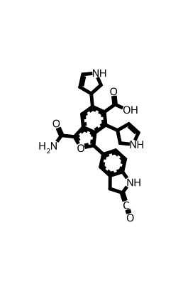 NC(=O)c1oc(-c2ccc3c(c2)CC(=C=O)N3)c2c(C3C=CNC3)c(C(=O)O)c(C3C=CNC3)cc12